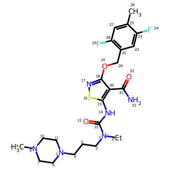 CCN(CCCN1CCN(C)CC1)C(=O)Nc1snc(OCc2cc(F)c(C)cc2F)c1C(N)=O